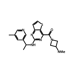 CNC1CN(C(=O)c2nc(NC(C)c3cncc(C)c3)nc3ccsc23)C1